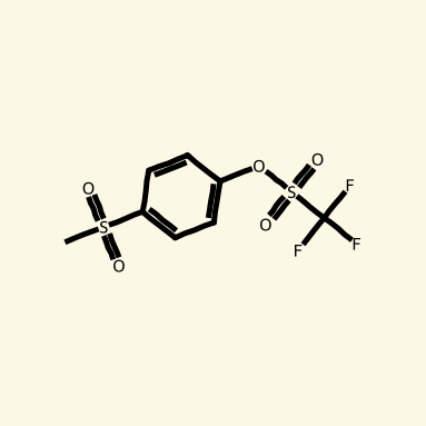 CS(=O)(=O)c1ccc(OS(=O)(=O)C(F)(F)F)cc1